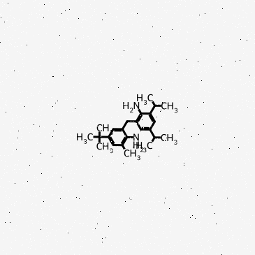 Cc1cc(C(C)(C)C)cc(Cc2cc(C(C)C)cc(C(C)C)c2N)c1N